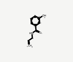 C=CCNC(=O)c1cccc(O)c1